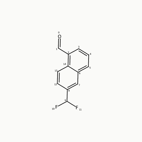 O=Cc1cccc2cc(C(F)F)ccc12